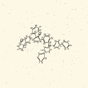 c1ccc(-c2ccc(N(c3ccc(-c4ccccc4)cc3)c3cccc(-c4ccc(-c5ccc6oc7ccccc7c6c5)c5c4oc4ccccc45)c3)cc2)cc1